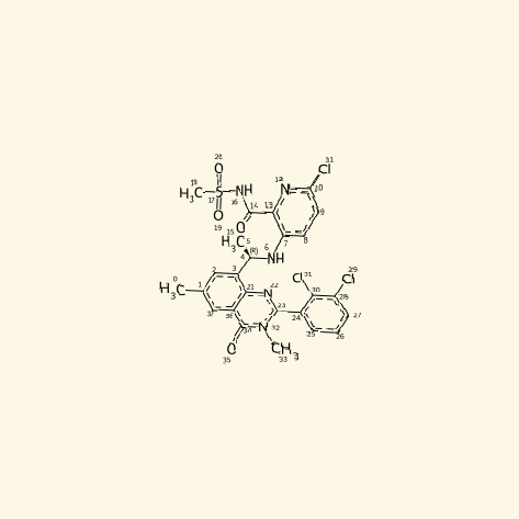 Cc1cc([C@@H](C)Nc2ccc(Cl)nc2C(=O)NS(C)(=O)=O)c2nc(-c3cccc(Cl)c3Cl)n(C)c(=O)c2c1